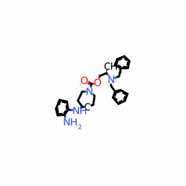 C[C@@H](COC(=O)N1CCCC(Nc2ccccc2N)CC1)N(Cc1ccccc1)Cc1ccccc1